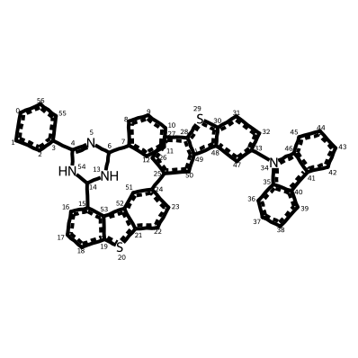 c1ccc(C2=NC(c3ccccc3)NC(c3cccc4sc5ccc(-c6ccc7sc8ccc(-n9c%10ccccc%10c%10ccccc%109)cc8c7c6)cc5c34)N2)cc1